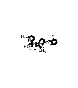 Cc1cccc(C(CO)(CO)NC(=O)c2c(C)nc3c(OCc4c(F)cccc4F)cccn23)n1